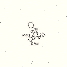 COc1ccc(OC)c2c1cc1n2CC(C)(C(=O)NC2CCCCCCC2)N(CC2CCCO2)C1=O